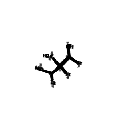 CCC(O)C(CC)(C(=O)O)C(O)CC